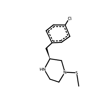 CSN1CCN[C@@H](Cc2ccc(Cl)cc2)C1